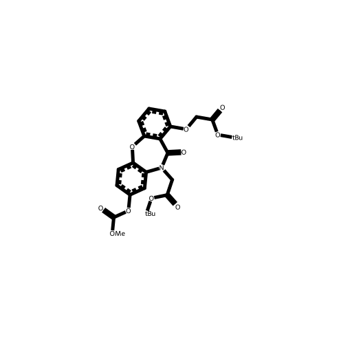 COC(=O)Oc1ccc2c(c1)N(CC(=O)OC(C)(C)C)C(=O)c1c(OCC(=O)OC(C)(C)C)cccc1O2